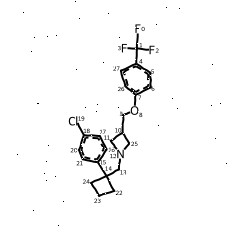 FC(F)(F)c1ccc(OCC2CN(CC3(c4ccc(Cl)cc4)CCC3)C2)cc1